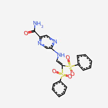 NC(=O)c1cnc(NC=C(S(=O)(=O)c2ccccc2)S(=O)(=O)c2ccccc2)cn1